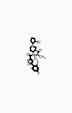 CC[C@@H]1CCC[C@@H]1N1CC[C@@H](NC(=O)c2cc(-c3ccc(F)cc3F)on2)[C@H](C(=O)N(C)C)C1